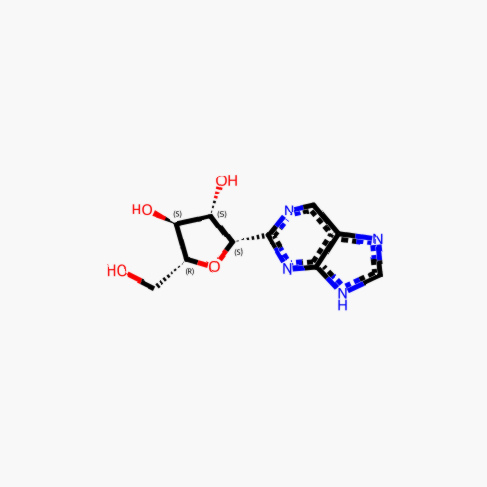 OC[C@H]1O[C@@H](c2ncc3nc[nH]c3n2)[C@@H](O)[C@@H]1O